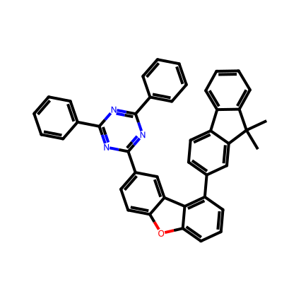 CC1(C)c2ccccc2-c2ccc(-c3cccc4oc5ccc(-c6nc(-c7ccccc7)nc(-c7ccccc7)n6)cc5c34)cc21